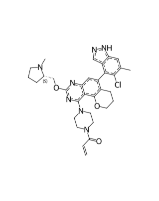 C=CC(=O)N1CCN(c2nc(OC[C@@H]3CCCN3C)nc3cc(-c4c(Cl)c(C)cc5[nH]ncc45)c4c(c23)OCCC4)CC1